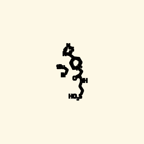 CC(C)(C)CBr.O=C(C[n+]1ccc(-c2ncns2)cc1)NCCS(=O)(=O)O